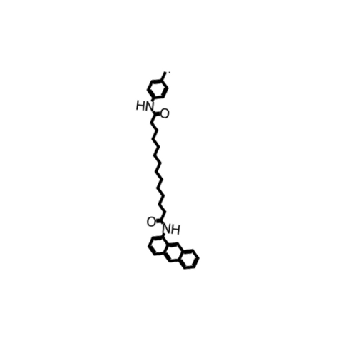 [CH2]c1ccc(NC(=O)CCCCCCCCCCCCC(=O)Nc2cccc3cc4ccccc4cc23)cc1